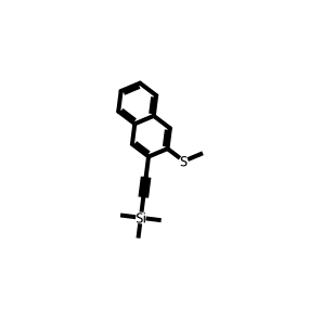 CSc1cc2ccccc2cc1C#C[Si](C)(C)C